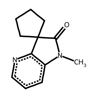 CN1C(=O)C2(CCCC2)c2ncccc21